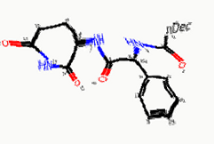 CCCCCCCCCCC(=O)N[C@H](C(=O)NC1CCC(=O)NC1=O)c1ccccc1